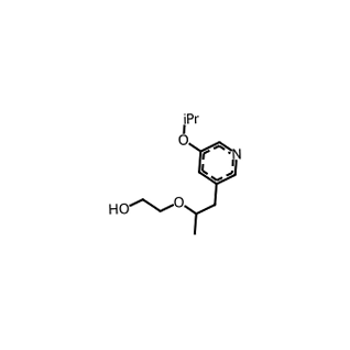 CC(C)Oc1cncc(CC(C)OCCO)c1